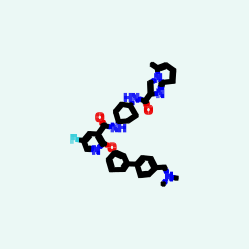 Cc1cccc2nc(C(=O)NC3CCC(NC(=O)c4cc(F)cnc4Oc4cccc(-c5ccc(CN(C)C)cc5)c4)CC3)cn12